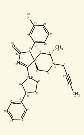 CC#CCN1CC[C@@]2(C[C@@H]1C)C(N1CCC(c3ccccc3)C1)=NC(=O)N2c1cccc(F)c1